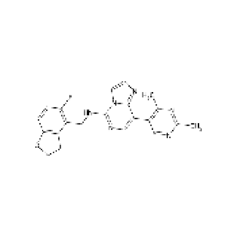 Cc1ncc(-c2cnc(NCc3c(F)ccc4c3CCO4)n3ccnc23)c(C)n1